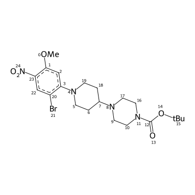 COc1cc(N2CCC(N3CCN(C(=O)OC(C)(C)C)CC3)CC2)c(Br)cc1[N+](=O)[O-]